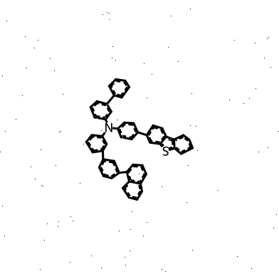 c1ccc(-c2cccc(N(c3ccc(-c4ccc5c(c4)sc4ccccc45)cc3)c3cccc(-c4cccc(-c5cccc6ccccc56)c4)c3)c2)cc1